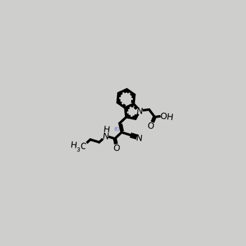 CCCNC(=O)/C(C#N)=C/c1cn(CC(=O)O)c2ccccc12